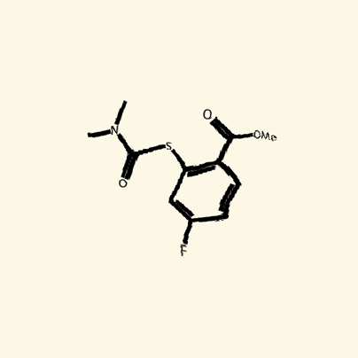 COC(=O)c1ccc(F)cc1SC(=O)N(C)C